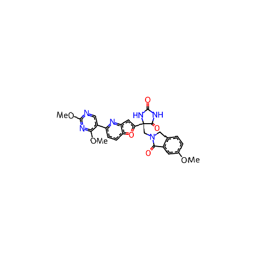 COc1ccc2c(c1)C(=O)N(C[C@@]1(c3cc4nc(-c5cnc(OC)nc5OC)ccc4o3)NC(=O)NC1=O)C2